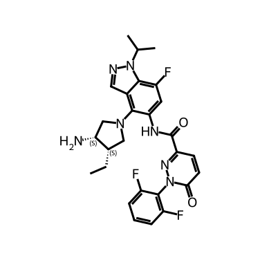 CC[C@H]1CN(c2c(NC(=O)c3ccc(=O)n(-c4c(F)cccc4F)n3)cc(F)c3c2cnn3C(C)C)C[C@H]1N